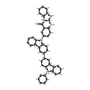 O=c1c2cc(-n3c4ccccc4c4cc(-c5ccc6c(c5)c5ccccc5n6-c5ccccc5)ccc43)ccc2sc2nc3ccccc3n12